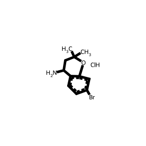 CC1(C)CC(N)c2ccc(Br)cc2O1.Cl